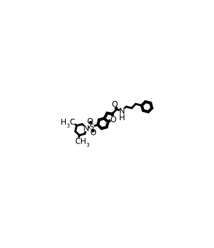 CC1CC(C)CN(S(=O)(=O)c2ccc3oc(C(=O)NCCCc4ccccc4)cc3c2)C1